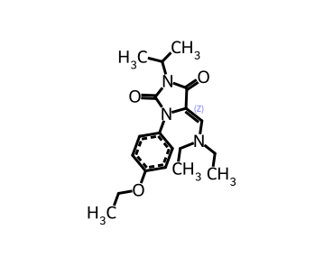 CCOc1ccc(N2C(=O)N(C(C)C)C(=O)/C2=C/N(CC)CC)cc1